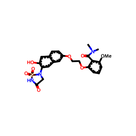 COc1cccc(OCCOc2ccc3cc(O)c(N4CC(=O)NS4(=O)=O)cc3c2)c1C(=O)N(C)C